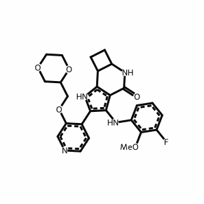 COc1c(F)cccc1Nc1c(-c2ccncc2OCC2COCCO2)[nH]c2c1C(=O)NC1CCC21